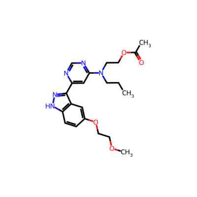 CCCN(CCOC(C)=O)c1cc(-c2n[nH]c3ccc(OCCOC)cc23)ncn1